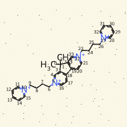 CC1(C)c2c[n+](CCCC[n+]3ccccc3)ccc2-c2cc[n+](CCCC[n+]3ccccc3)cc21